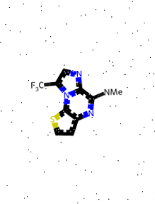 CNc1nc2ccsc2n2c(C(F)(F)F)cnc12